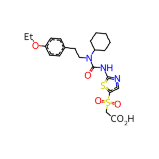 CCOc1ccc(CCN(C(=O)Nc2ncc(S(=O)(=O)CC(=O)O)s2)C2CCCCC2)cc1